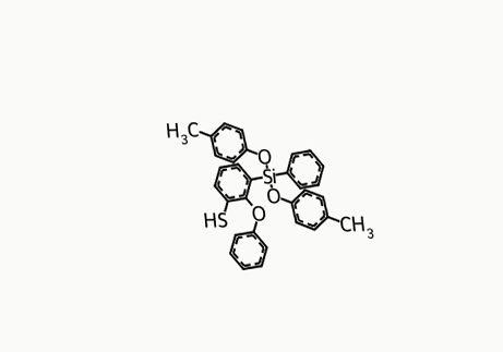 Cc1ccc(O[Si](Oc2ccc(C)cc2)(c2ccccc2)c2cccc(S)c2Oc2ccccc2)cc1